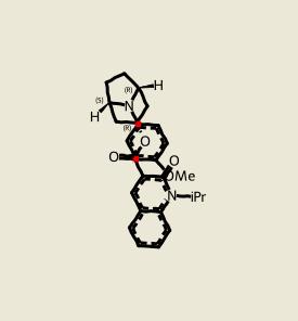 COc1ccc(N2[C@@H]3CC[C@H]2C[C@@H](OC(=O)c2cc4ccccc4n(C(C)C)c2=O)C3)cc1